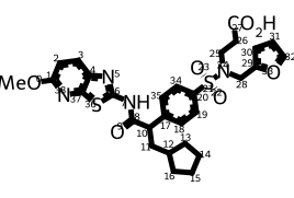 COc1ccc2nc(NC(=O)C(CC3CCCC3)c3ccc(S(=O)(=O)N(CCC(=O)O)Cc4ccco4)cc3)sc2n1